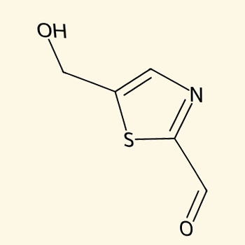 O=Cc1ncc(CO)s1